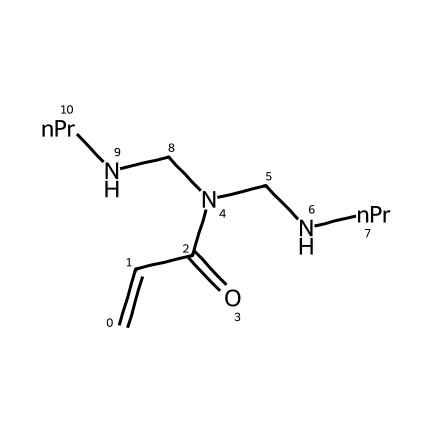 C=CC(=O)N(CNCCC)CNCCC